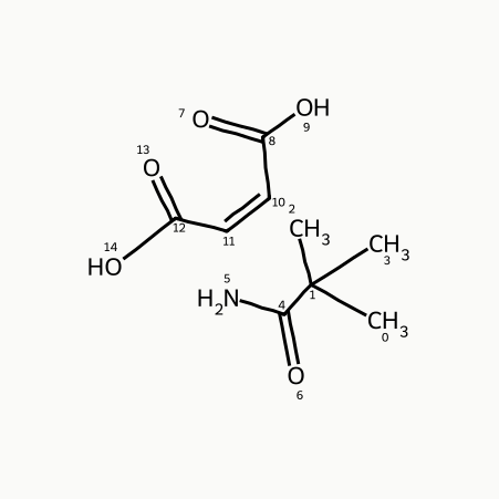 CC(C)(C)C(N)=O.O=C(O)/C=C\C(=O)O